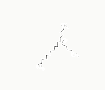 CCCCCCCCCCCC[N+]([O-])(CCCCC)CCCCC